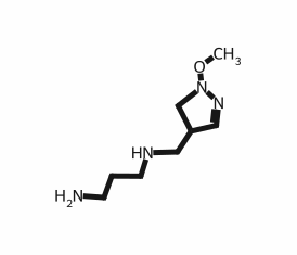 CON1CC(CNCCCN)C=N1